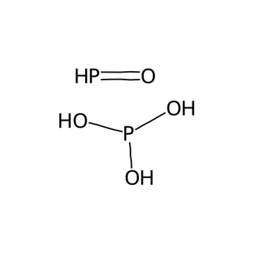 O=P.OP(O)O